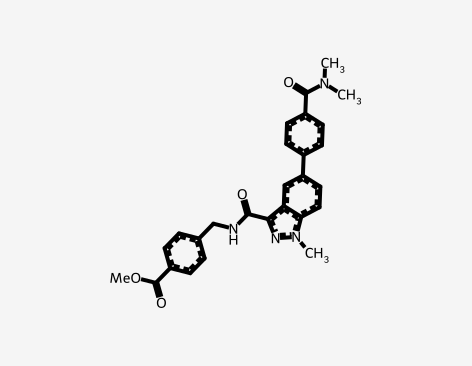 COC(=O)c1ccc(CNC(=O)c2nn(C)c3ccc(-c4ccc(C(=O)N(C)C)cc4)cc23)cc1